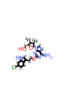 [2H][C@@H]1[C@H]([2H])[C@H](CO)O[C@H]1n1cnc2c(N)nc(OCCc3c[nH]c4cc(Cl)ccc34)nc21